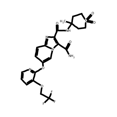 CC1(NC(=O)c2nc3ccc(Oc4ncccc4OCC(F)(F)F)cn3c2C(N)=O)CCS(=O)(=O)CC1